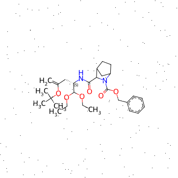 C=C(C[C@H](NC(=O)C1C2CCC(C2)N1C(=O)OCc1ccccc1)C(OCC)OCC)OC(C)(C)C